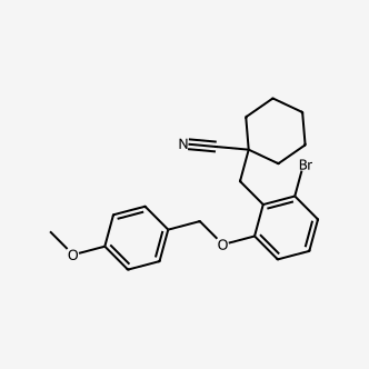 COc1ccc(COc2cccc(Br)c2CC2(C#N)CCCCC2)cc1